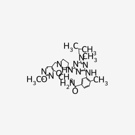 COc1ncc(CN2CC[C@@H](Nc3nc(Nc4cc(C(N)=O)ccc4C)nc(N(C)CC(C)C)n3)C2)c(OC)n1